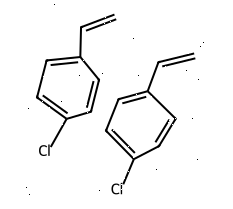 C=Cc1ccc(Cl)cc1.C=Cc1ccc(Cl)cc1